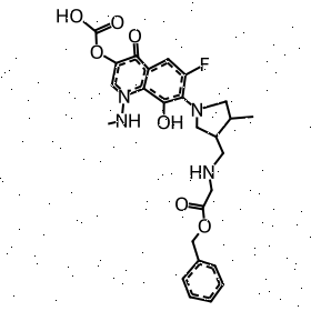 CNn1cc(OC(=O)O)c(=O)c2cc(F)c(N3CC(C)C(CNCC(=O)OCc4ccccc4)C3)c(O)c21